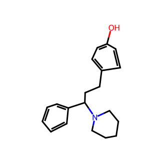 Oc1ccc(CCC(c2ccccc2)N2CCCCC2)cc1